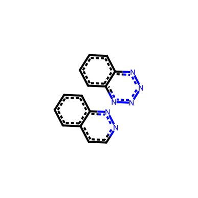 c1ccc2nnccc2c1.c1ccc2nnnnc2c1